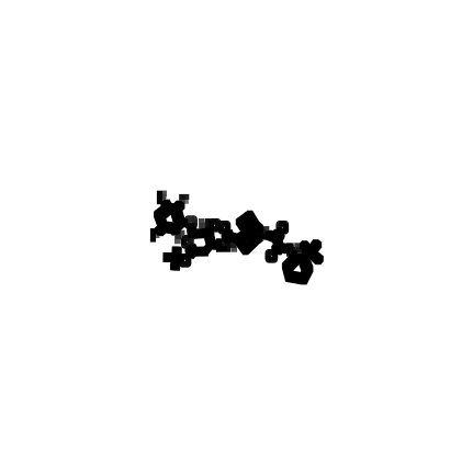 CC(C)(C)OC(=O)C[C@H](NC(=O)C1CC2N(C(=O)C(=O)Nc3ccccc3C(C)(C)C)C3CCC132)C(O)COc1c(F)c(F)cc(F)c1F